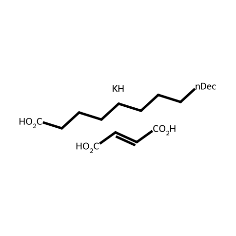 CCCCCCCCCCCCCCCCCC(=O)O.O=C(O)/C=C/C(=O)O.[KH]